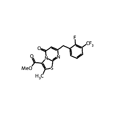 COC(=O)c1c(C)sc2nc(Cc3cccc(C(F)(F)F)c3F)cc(=O)n12